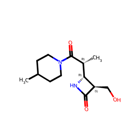 CC1CCN(C(=O)[C@H](C)[C@H]2NC(=O)[C@@H]2CO)CC1